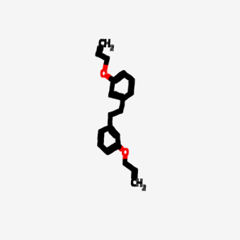 C=CCOc1cccc(CCc2cccc(OCC=C)c2)c1